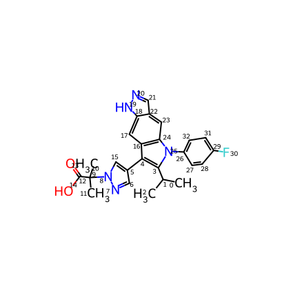 CC(C)c1c(-c2cnn(C(C)(C)C(=O)O)c2)c2cc3[nH]ncc3cc2n1-c1ccc(F)cc1